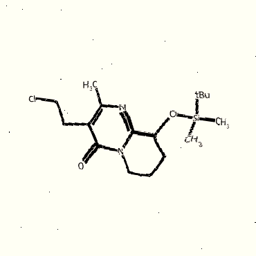 Cc1nc2n(c(=O)c1CCCl)CCCC2O[Si](C)(C)C(C)(C)C